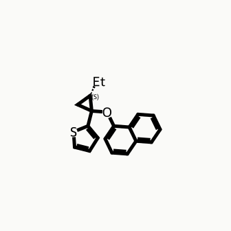 CC[C@H]1CC1(Oc1cccc2ccccc12)c1cccs1